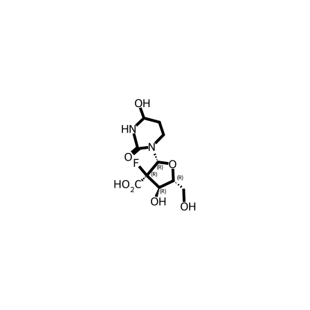 O=C1NC(O)CCN1[C@@H]1O[C@H](CO)[C@@H](O)[C@]1(F)C(=O)O